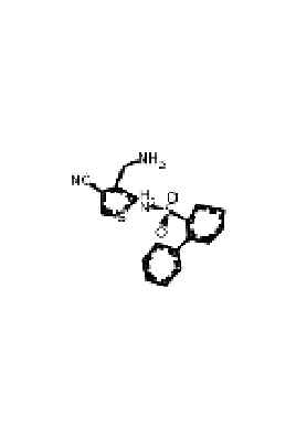 N#Cc1cscc1CN.NS(=O)(=O)c1ccccc1-c1ccccc1